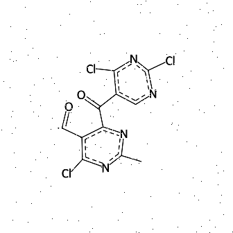 Cc1nc(Cl)c([C]=O)c(C(=O)c2cnc(Cl)nc2Cl)n1